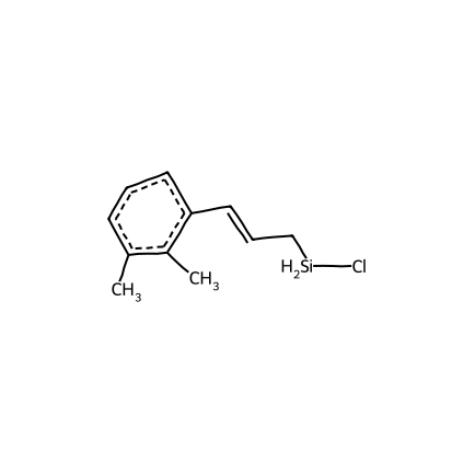 Cc1cccc(C=CC[SiH2]Cl)c1C